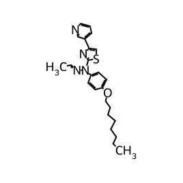 CC=NN(c1ccc(OCCCCCCCC)cc1)c1nc(-c2cccnc2)cs1